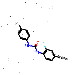 COc1ccc(NC(=O)Nc2ccc(C(C)C)cc2)c(F)c1